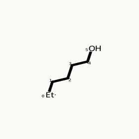 C[CH]CCC[CH]O